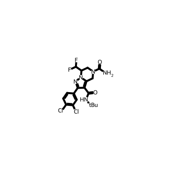 CC(C)(C)NC(=O)c1c(-c2ccc(Cl)c(Cl)c2)nn2c1CN(C(N)=O)CC2C(F)F